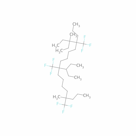 CCCC(C)(CCCCC(CCCCC(CCC)(C(F)(F)F)C(C)(CC)CC)(C(CC)CC)C(F)(F)F)C(F)(F)F